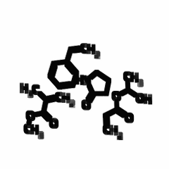 C=C(C)C(=O)OC.C=CC(=O)OC(C)O.C=Cc1ccccc1.O=C1CCCN1